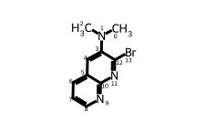 CN(C)c1cc2cccnc2nc1Br